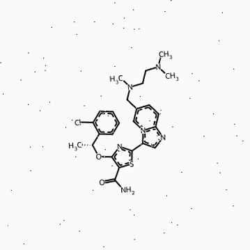 C[C@@H](Oc1nc(-c2cnc3ccc(CN(C)CCN(C)C)cn23)sc1C(N)=O)c1ccccc1Cl